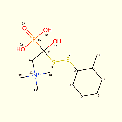 CC1CCCCC1SSC(O)(C[N+](C)(C)C)P(=O)(O)O